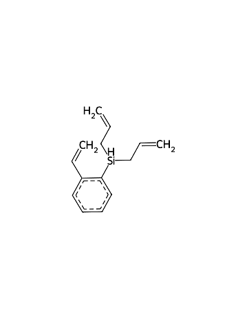 C=CC[SiH](CC=C)c1ccccc1C=C